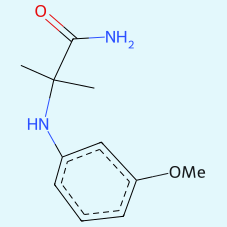 COc1cccc(NC(C)(C)C(N)=O)c1